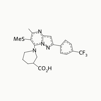 CSc1c(C)nc2cc(-c3ccc(C(F)(F)F)cc3)nn2c1N1CCCC(C(=O)O)C1